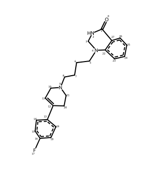 O=C1NCN(CCCCN2CC=C(c3ccc(F)cc3)CC2)c2ccccc21